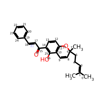 CC(C)=CCCC1(C)C=Cc2c(ccc(C(=O)/C=C/c3ccccc3)c2O)O1